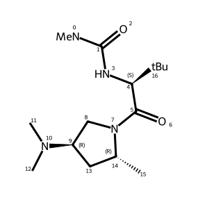 CNC(=O)N[C@H](C(=O)N1C[C@H](N(C)C)C[C@H]1C)C(C)(C)C